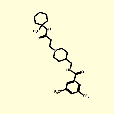 CC1(NC(=O)CCN2CCC(CNC(=O)c3cc(C(F)(F)F)cc(C(F)(F)F)c3)CC2)CCCCC1